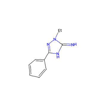 CCn1nc(-c2ccccc2)[nH]c1=N